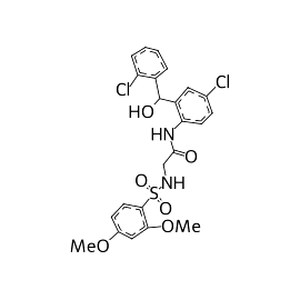 COc1ccc(S(=O)(=O)NCC(=O)Nc2ccc(Cl)cc2C(O)c2ccccc2Cl)c(OC)c1